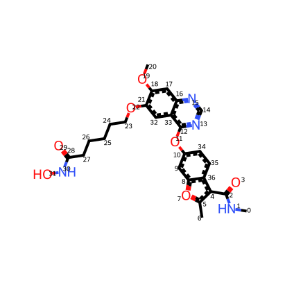 CNC(=O)c1c(C)oc2cc(Oc3ncnc4cc(OC)c(OCCCCCC(=O)NO)cc34)ccc12